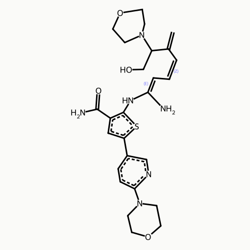 C=C(/C=C\C=C(/N)Nc1sc(-c2ccc(N3CCOCC3)nc2)cc1C(N)=O)C(CO)N1CCOCC1